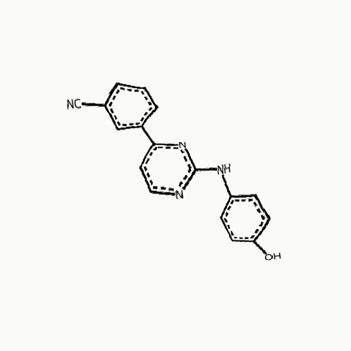 N#Cc1cccc(-c2ccnc(Nc3ccc(O)cc3)n2)c1